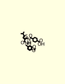 CC(C)c1cc(C(=O)NCc2ccc3c(c2)OCO3)c(NC(=O)C2CCC(C(=O)O)CC2)s1